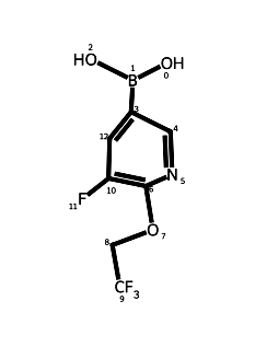 OB(O)c1cnc(OCC(F)(F)F)c(F)c1